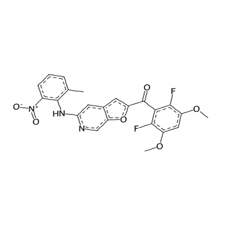 COc1cc(OC)c(F)c(C(=O)c2cc3cc(Nc4c(C)cccc4[N+](=O)[O-])ncc3o2)c1F